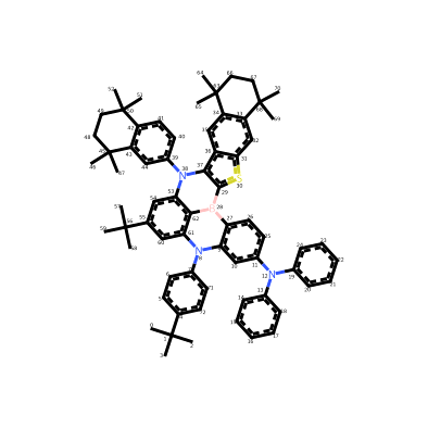 CC(C)(C)c1ccc(N2c3cc(N(c4ccccc4)c4ccccc4)ccc3B3c4sc5cc6c(cc5c4N(c4ccc5c(c4)C(C)(C)CCC5(C)C)c4cc(C(C)(C)C)cc2c43)C(C)(C)CCC6(C)C)cc1